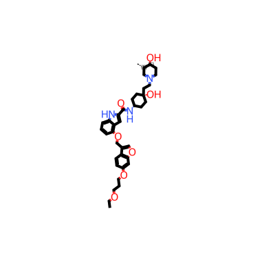 CCOCCCOc1ccc2c(COc3cccc4[nH]c(C(=O)N[C@H]5CC[C@](O)(CCN6CC[C@H](O)[C@@H](C)C6)CC5)cc34)coc2c1